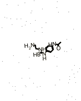 B=C(NCCN)Nc1ccc(NC(C)=O)cc1